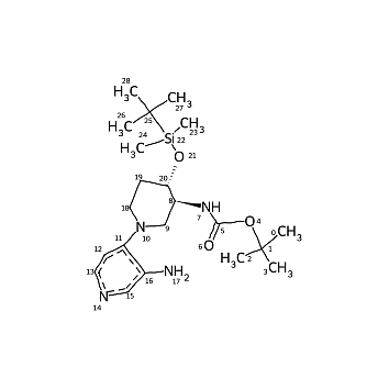 CC(C)(C)OC(=O)N[C@H]1CN(c2ccncc2N)CC[C@@H]1O[Si](C)(C)C(C)(C)C